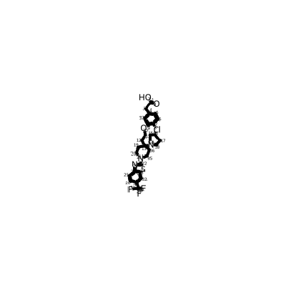 O=C(O)Cc1ccc(Cl)c(OCCC2(N3CCCC3)CCN(c3nc4ccc(C(F)(F)F)cc4s3)CC2)c1